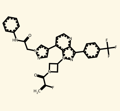 C=C(F)C(=O)N1CC(n2nc(-c3ccc(C(F)(F)F)cc3)c3nccc(-c4cnn(CC(=O)Nc5ccccc5)c4)c32)C1